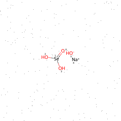 O=[Se](O)O.[Na+].[OH-]